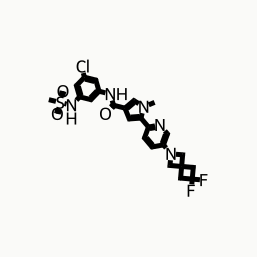 Cn1cc(C(=O)Nc2cc(Cl)cc(NS(C)(=O)=O)c2)cc1-c1ccc(N2CC3(C2)CC(F)(F)C3)cn1